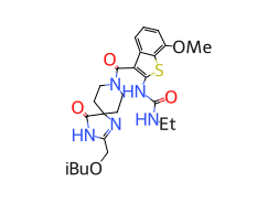 CCNC(=O)Nc1sc2c(OC)cccc2c1C(=O)N1CCC2(CC1)N=C(COCC(C)C)NC2=O